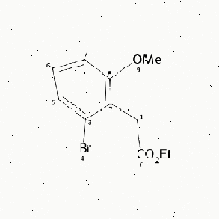 CCOC(=O)Cc1c(Br)cccc1OC